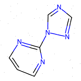 c1cnc(-n2cncn2)nc1